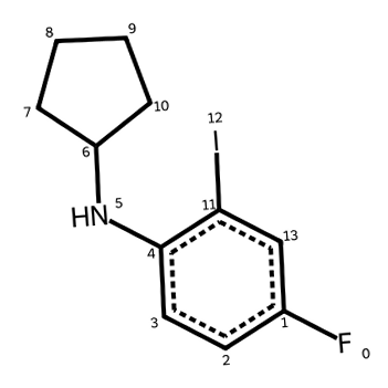 Fc1ccc(NC2CCCC2)c(I)c1